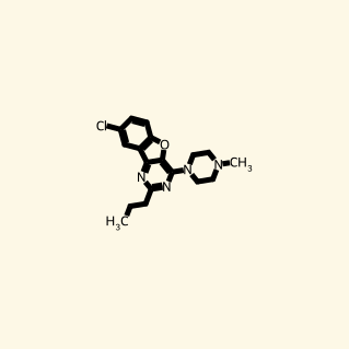 CCCc1nc(N2CCN(C)CC2)c2oc3ccc(Cl)cc3c2n1